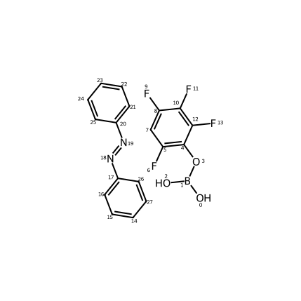 OB(O)Oc1c(F)cc(F)c(F)c1F.c1ccc(N=Nc2ccccc2)cc1